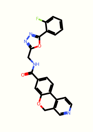 O=C(NCc1nnc(-c2ccccc2F)o1)c1ccc2c(c1)OCc1cnccc1-2